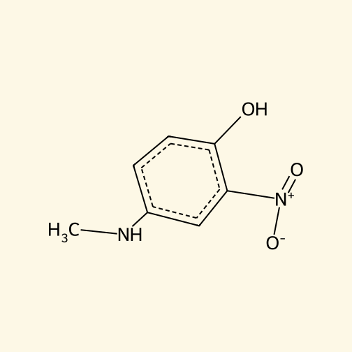 CNc1ccc(O)c([N+](=O)[O-])c1